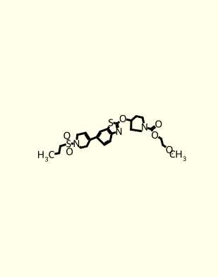 CCCS(=O)(=O)N1CC=C(c2ccc3nc(OC4CCN(C(=O)OCCOC)CC4)sc3c2)CC1